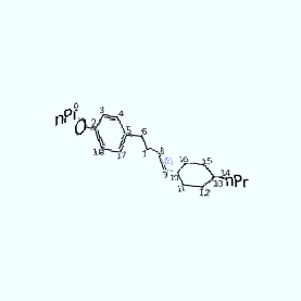 CCCOc1ccc(CC/C=C/[C@H]2CC[C@H](CCC)CC2)cc1